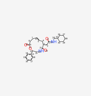 O=C(C[C@@H]1C/C=C/CCC(=O)OC(c2ccccc2)CNC1=O)NCC1CCCCC1